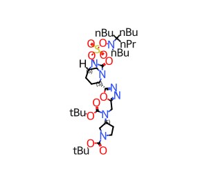 CCCCN(OS(=O)(=O)ON1C(=O)N2C[C@@H]1CC[C@H]2c1nnc(CN(C(=O)OC(C)(C)C)[C@H]2CCN(C(=O)OC(C)(C)C)C2)o1)C(CCC)(CCCC)CCCC